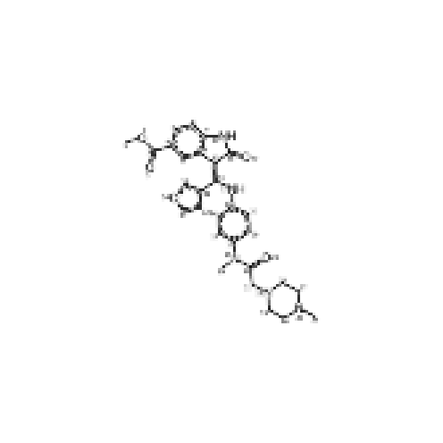 COC(=O)c1ccc2c(c1)/C(=C(/Nc1ccc(N(C)C(=O)CN3CCN(C)CC3)cc1)c1ccoc1)C(=O)N2